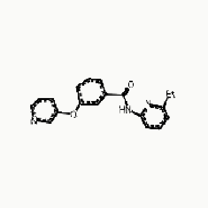 CCc1cccc(NC(=O)c2cccc(Oc3cccnc3)c2)n1